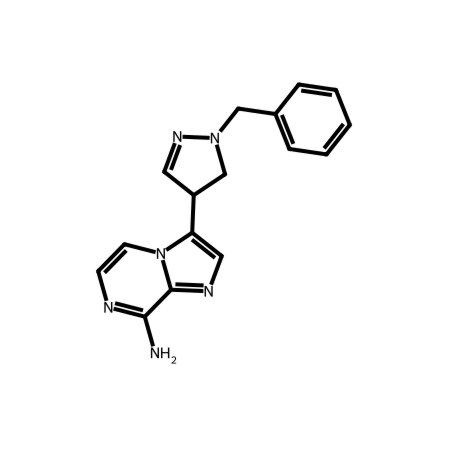 Nc1nccn2c(C3C=NN(Cc4ccccc4)C3)cnc12